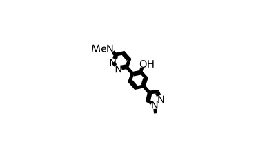 CNc1ccc(-c2ccc(-c3cnn(C)c3)cc2O)nn1